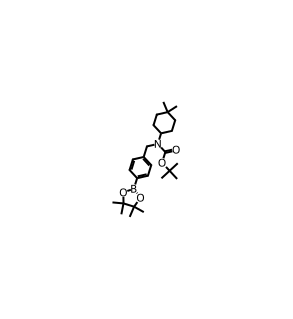 CC1(C)CCC(N(Cc2ccc(B3OC(C)(C)C(C)(C)O3)cc2)C(=O)OC(C)(C)C)CC1